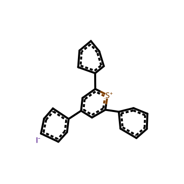 [I-].c1ccc(-c2cc(-c3ccccc3)[s+]c(-c3ccccc3)c2)cc1